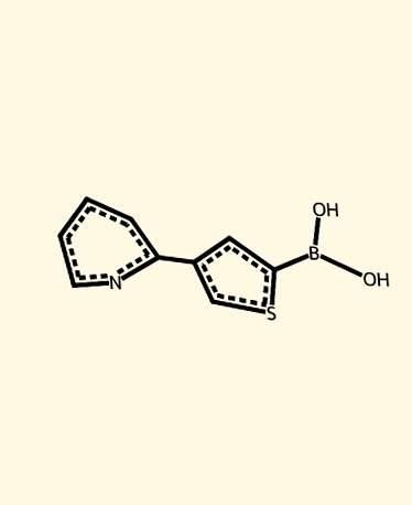 OB(O)c1cc(-c2ccccn2)cs1